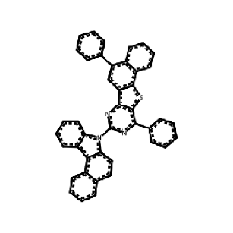 c1ccc(-c2cc3c4nc(-n5c6ccccc6c6c7ccccc7ccc65)nc(-c5ccccc5)c4sc3c3ccccc23)cc1